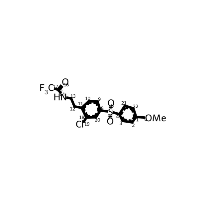 COc1ccc(S(=O)(=O)c2ccc(CCNC(=O)C(F)(F)F)c(Cl)c2)cc1